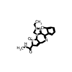 CCN1CN2C(=N1)C(c1ccccc1Cl)=NCC1=CC(C(=O)NC)[S+]([O-])C12